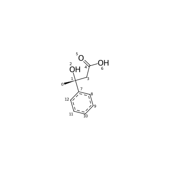 C[C@@](O)(CC(=O)O)c1ccccc1